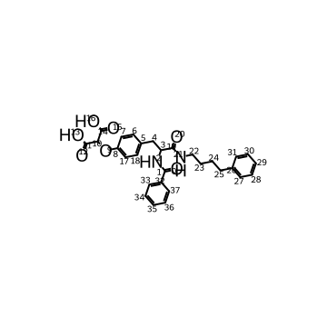 O=C(NC(Cc1ccc(OC(C(=O)O)C(=O)O)cc1)C(=O)NCCCCc1ccccc1)c1ccccc1